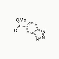 COC(=O)c1ccc2snnc2c1